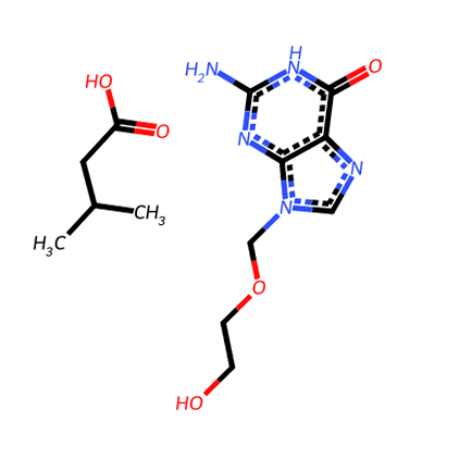 CC(C)CC(=O)O.Nc1nc2c(ncn2COCCO)c(=O)[nH]1